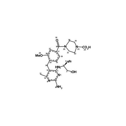 CCC[C@@H](CO)Nc1nc(N)nc(C)c1Cc1ccc(C(=O)N2CCN(C(=O)O)CC2)cc1OC